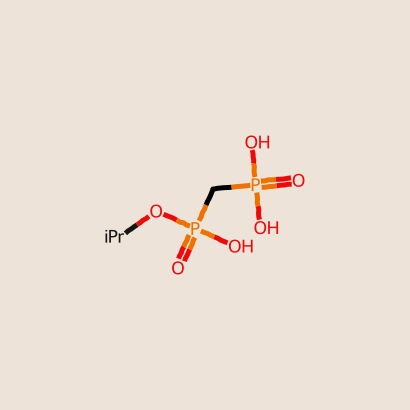 CC(C)OP(=O)(O)CP(=O)(O)O